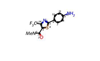 CNC(=O)c1sc(-c2ccc(N)cc2)nc1C(F)(F)F